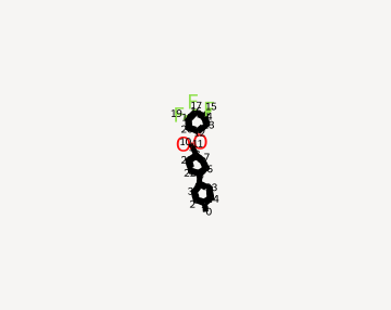 Cc1ccc(-c2ccc(C(=O)Oc3cc(F)c(F)c(F)c3)cc2)cc1